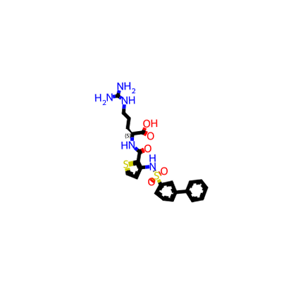 NC(N)NCCC[C@H](NC(=O)c1sccc1NS(=O)(=O)c1cccc(-c2ccccc2)c1)C(=O)O